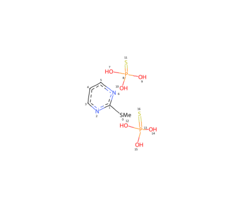 CSc1ncccn1.OP(O)(O)=S.OP(O)(O)=S